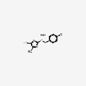 N#Cc1sc(OCc2ccc(Cl)cc2)nc1O.[NaH]